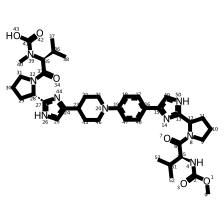 COC(=O)N[C@H](C(=O)N1CCCC1c1nc(-c2ccc(N3CCC(c4c[nH]c([C@@H]5CCCN5C(=O)[C@H](C(C)C)N(C)C(=O)O)n4)CC3)cc2)c[nH]1)C(C)C